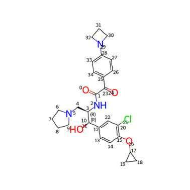 O=C(N[C@H](CN1CCCC1)[C@H](O)c1ccc(OC2CC2)c(Cl)c1)C(=O)c1ccc(N2CCC2)cc1